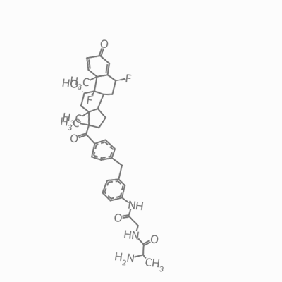 CC(N)C(=O)NCC(=O)Nc1cccc(Cc2ccc(C(=O)C3(C)CCC4C5C[C@H](F)C6=CC(=O)C=CC6(C)[C@@]5(F)[C@@H](O)CC43C)cc2)c1